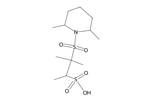 CC1CCCC(C)N1S(=O)(=O)C(C)(C)C(C)S(=O)(=O)O